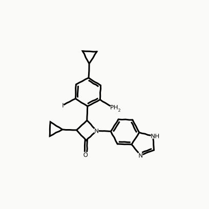 O=C1C(C2CC2)C(c2c(P)cc(C3CC3)cc2I)N1c1ccc2[nH]cnc2c1